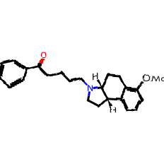 COc1cccc2c1CC[C@@H]1[C@H]2CCN1CCCCC(=O)c1ccccc1